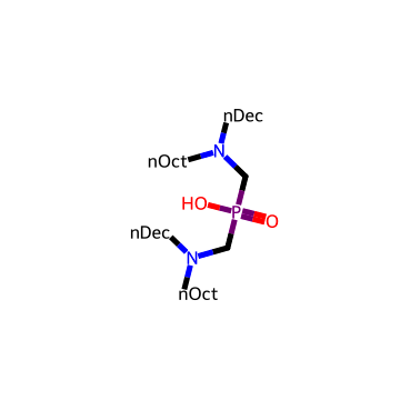 CCCCCCCCCCN(CCCCCCCC)CP(=O)(O)CN(CCCCCCCC)CCCCCCCCCC